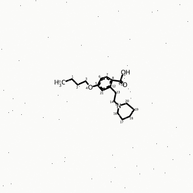 CCCCOc1ccc(C(=O)O)c(CCN2CCCCC2)c1